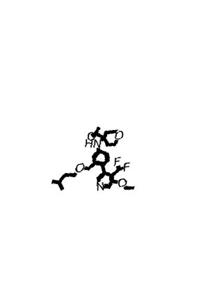 CCOc1cncc(-c2ccc(NC3(C(C)=O)CCOCC3)cc2COCCC(C)C)c1C(F)F